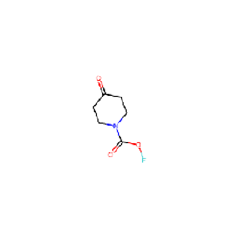 O=C1CCN(C(=O)OF)CC1